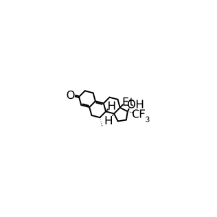 CCC12CCC3=C4CCC(=O)C=C4C[C@@H](C)[C@H]3[C@@H]1CC[C@@]2(O)C(F)(F)F